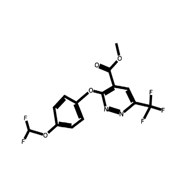 COC(=O)c1cc(C(F)(F)F)nnc1Oc1ccc(OC(F)F)cc1